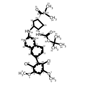 COc1cc(OC)c(Cl)c(-c2ccc3nc(NC4C[C@H](C(=O)N(C)C)C[C@@H]4NC(=O)OC(C)(C)C)ncc3c2)c1Cl